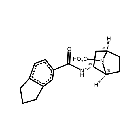 O=C(N[C@@H]1C[C@H]2CC[C@@H]1N2C(=O)O)c1ccc2c(c1)CCC2